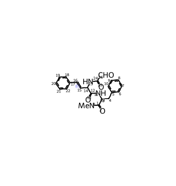 CNC(=O)[C@H](Cc1ccccc1)NC(=O)C(/C=C/c1ccccc1)NC(=O)C=O